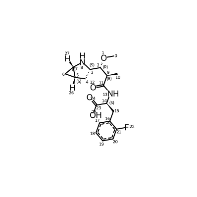 CO[C@@H]([C@@H]1C[C@@H]2C[C@@H]2N1)[C@@H](C)C(=O)N[C@@H](Cc1ccccc1F)C(=O)O